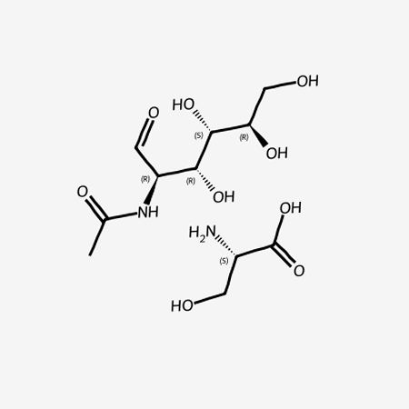 CC(=O)N[C@@H](C=O)[C@@H](O)[C@H](O)[C@H](O)CO.N[C@@H](CO)C(=O)O